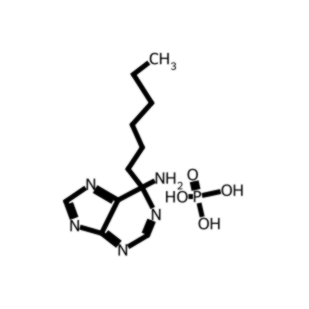 CCCCCCC1(N)N=CN=C2N=CN=C21.O=P(O)(O)O